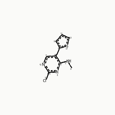 CNc1nc(Cl)ncc1-c1cccs1